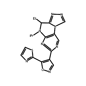 CCC1c2nncn2-c2cnc(-c3cnoc3-c3nccs3)nc2N1C(C)C